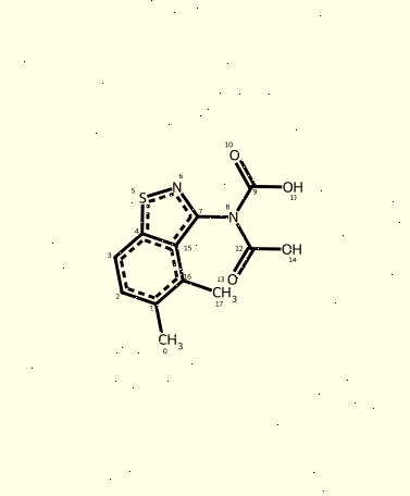 Cc1ccc2snc(N(C(=O)O)C(=O)O)c2c1C